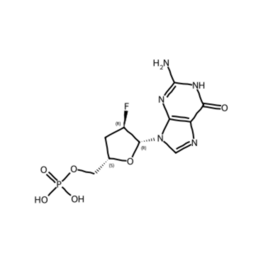 Nc1nc2c(ncn2[C@@H]2O[C@H](COP(=O)(O)O)C[C@H]2F)c(=O)[nH]1